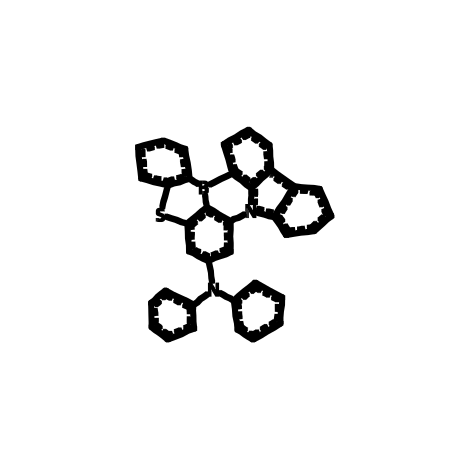 c1ccc(N(c2ccccc2)c2cc3c4c(c2)-n2c5ccccc5c5cccc(c52)B4c2ccccc2S3)cc1